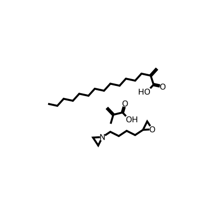 C(CCN1CC1)CC1CO1.C=C(C)C(=O)O.C=C(CCCCCCCCCCCCC)C(=O)O